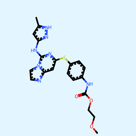 COCCOC(=O)Nc1ccc(Sc2cc3nccn3c(Nc3cc(C)[nH]n3)n2)cc1